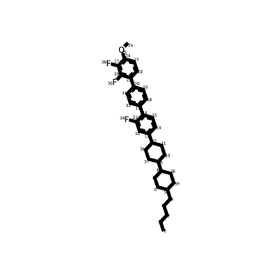 CCCCCC1CCC(C2CCC(c3ccc(-c4ccc(-c5ccc(OC)c(F)c5F)cc4)c(F)c3)CC2)CC1